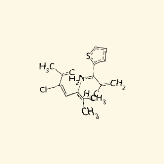 C=C(C)/C(Cl)=C\C(/N=C(\C(=C)C)c1cccs1)=C(C)C